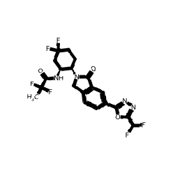 CC(F)(F)C(=O)N[C@H]1CC(F)(F)CC[C@H]1N1Cc2ccc(-c3nnc(C(F)F)o3)cc2C1=O